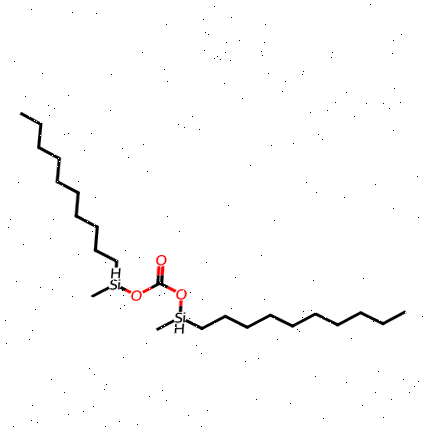 CCCCCCCCCC[SiH](C)OC(=O)O[SiH](C)CCCCCCCCCC